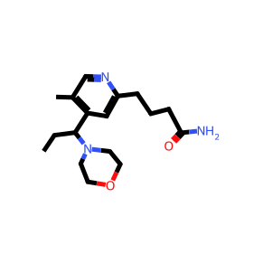 CCC(c1cc(CCCC(N)=O)ncc1C)N1CCOCC1